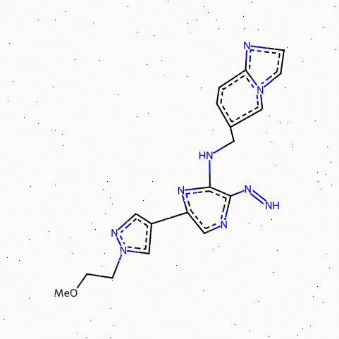 COCCn1cc(-c2cnc(N=N)c(NCc3ccc4nccn4c3)n2)cn1